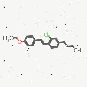 CCCCc1ccc(C=Cc2ccc(OCC)cc2)c(Cl)c1